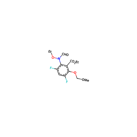 CCOC(=O)c1c(OCOC)c(F)cc(F)c1N(C=O)OCC